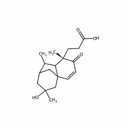 CC1C2CC(C)(O)CC3(C=CC(=O)[C@@](C)(CCC(=O)O)C13)C2